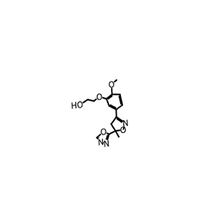 COc1ccc(C2=NOC(C)(c3nnco3)C2)cc1OCCO